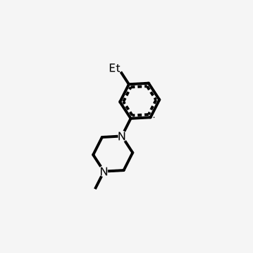 CCc1cc[c]c(N2CCN(C)CC2)c1